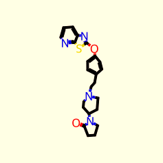 O=C1CCCN1C1CCN(CCc2ccc(Oc3nc4cccnc4s3)cc2)CC1